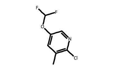 Cc1cc(OC(F)F)cnc1Cl